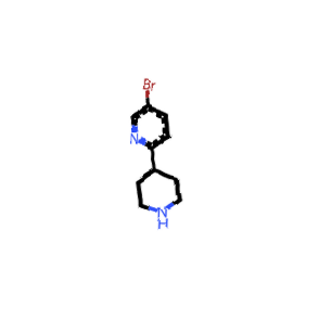 Brc1ccc(C2CCNCC2)nc1